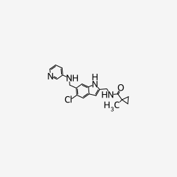 CC1(C(=O)NCc2cc3cc(Cl)c(CNc4cccnc4)cc3[nH]2)CC1